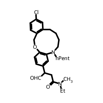 CCCCCN1CCCCc2cc(Cl)ccc2COc2ccc(C(C=O)CC(=O)N(C)CC)cc21